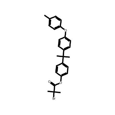 Cc1ccc(Oc2ccc(C(C)(C)c3ccc(OC(=O)C(C)(C)Br)cc3)cc2)cc1